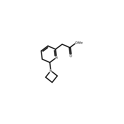 COC(=O)CC1=NC(N2CCC2)CC=C1